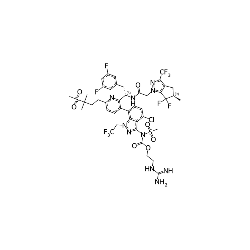 C[C@@H]1Cc2c(C(F)(F)F)nn(CC(=O)N[C@@H](Cc3cc(F)cc(F)c3)c3nc(CCC(C)(C)S(C)(=O)=O)ccc3-c3ccc(Cl)c4c(N(C(=O)OCCNC(=N)N)S(C)(=O)=O)nn(CC(F)(F)F)c34)c2C1(F)F